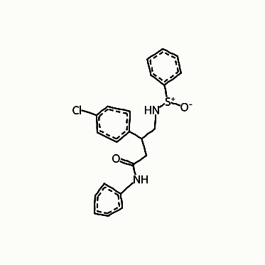 O=C(CC(CN[S+]([O-])c1ccccc1)c1ccc(Cl)cc1)Nc1ccccc1